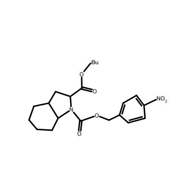 CCC(C)OC(=O)C1CC2CCCCC2N1C(=O)OCc1ccc([N+](=O)[O-])cc1